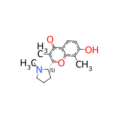 Cc1c([C@@H]2CCCN2C)oc2c(C)c(O)ccc2c1=O